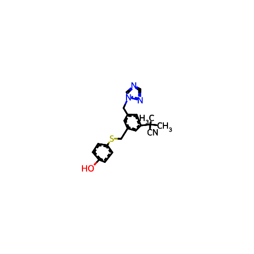 CC(C)(C#N)c1cc(CSc2ccc(O)cc2)cc(Cn2cncn2)c1